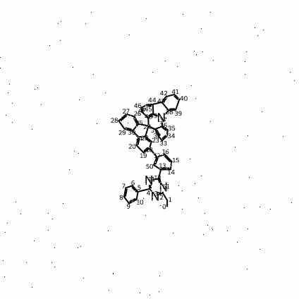 CCc1nc(-c2ccccc2)nc(-c2cccc(-c3ccc4c(c3)C3(c5ccccc5-4)c4ccccc4-n4c5ccccc5c5cccc3c54)c2)n1